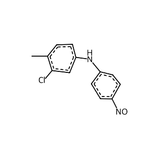 Cc1ccc(Nc2ccc(N=O)cc2)cc1Cl